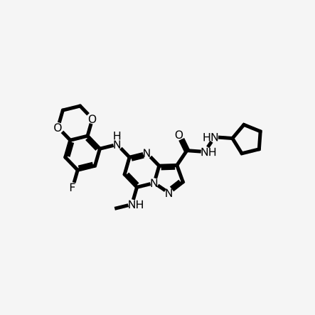 CNc1cc(Nc2cc(F)cc3c2OCCO3)nc2c(C(=O)NNC3CCCC3)cnn12